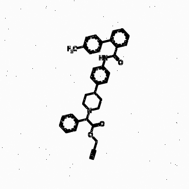 C#CCOC(=O)C(c1ccccc1)N1CCC(c2ccc(NC(=O)c3ccccc3-c3ccc(C(F)(F)F)cc3)cc2)CC1